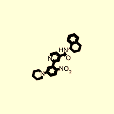 O=C(N[C@H]1CCCc2ccccc21)c1ccnc(-c2cc(N3CCCCC3)ccc2[N+](=O)[O-])c1